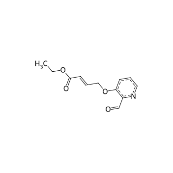 CCOC(=O)C=CCOc1cccnc1C=O